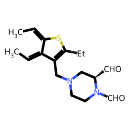 C/C=c1/c(CN2CCN(C=O)[C@H](C=O)C2)c(CC)s/c1=C/C